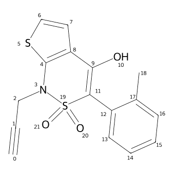 C#CCN1c2sccc2C(O)=C(c2ccccc2C)S1(=O)=O